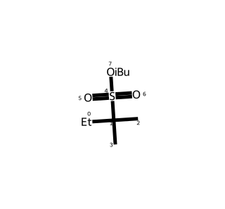 CCC(C)(C)S(=O)(=O)OCC(C)C